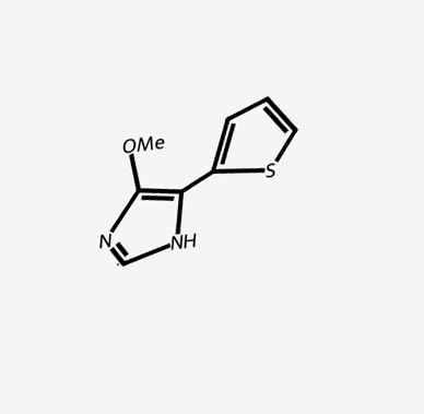 COc1n[c][nH]c1-c1cccs1